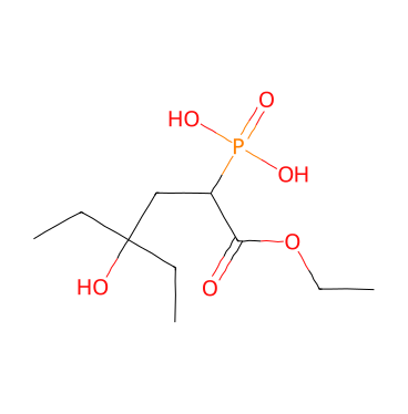 CCOC(=O)C(CC(O)(CC)CC)P(=O)(O)O